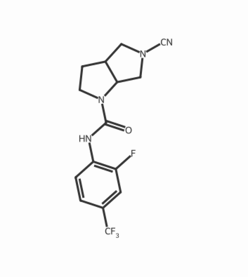 N#CN1CC2CCN(C(=O)Nc3ccc(C(F)(F)F)cc3F)C2C1